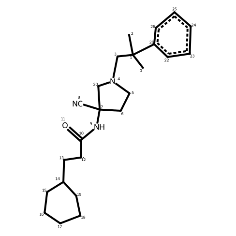 CC(C)(CN1CCC(C#N)(NC(=O)[CH]CC2CCCCC2)C1)c1ccccc1